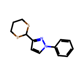 c1ccc(-n2ccc(C3SCCCS3)n2)cc1